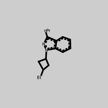 CCCc1nn(C2CC(CC)C2)c2ccccc12